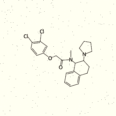 CN(C(=O)COc1ccc(Cl)c(Cl)c1)C1c2ccccc2CCC1N1CCCC1